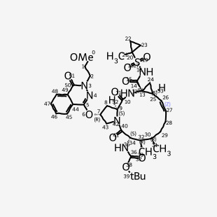 COCCn1nc(O[C@@H]2C[C@H]3C(=O)N[C@]4(C(=O)NS(=O)(=O)C5(C)CC5)C[C@H]4/C=C\CC[C@@H](C)[C@@H](C)[C@H](NC(=O)OC(C)(C)C)C(=O)N3C2)c2ccccc2c1=O